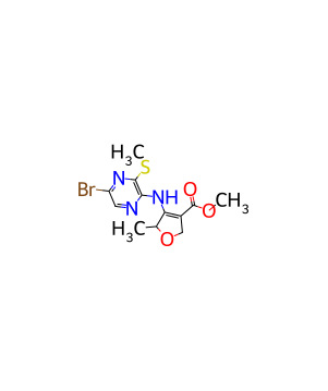 COC(=O)C1=C(Nc2ncc(Br)nc2SC)C(C)OC1